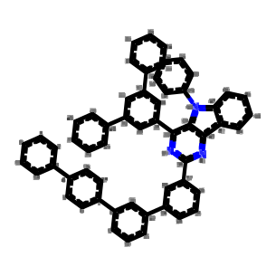 c1ccc(-c2ccc(-c3cccc(-c4cccc(-c5nc(-c6cc(-c7ccccc7)cc(-c7ccccc7)c6)c6c(n5)c5ccccc5n6-c5ccccc5)c4)c3)cc2)cc1